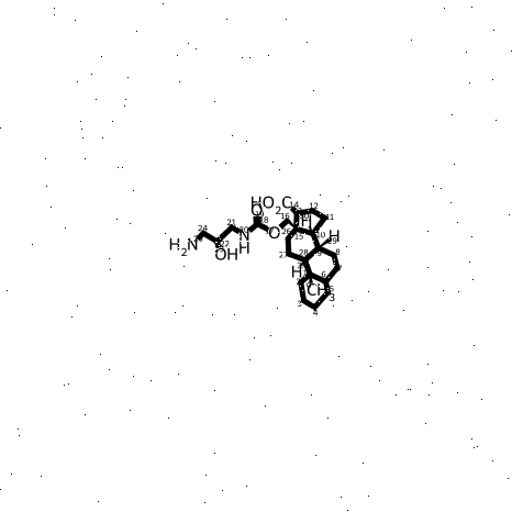 C[C@]12CCCCC1CC[C@H]1[C@@H]3CCC(C(=O)O)[C@@]3(COC(=O)NCC(O)CN)CC[C@@H]12